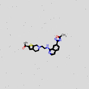 CCCC(=O)c1cc2c(s1)CN(CCNc1nccc3ccc(-c4noc(C)n4)cc13)CC2